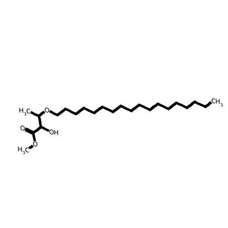 CCCCCCCCCCCCCCCCCCOC(C)C(O)C(=O)OC